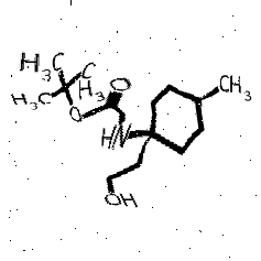 CC(C)(C)OC(=O)N[C@]1(CCO)CC[C@@H](C)CC1